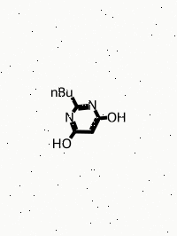 CCCCc1nc(O)cc(O)n1